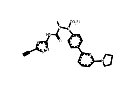 C#Cc1nnc(NC(=O)N(C)N(C(=O)OCC)c2ccc(-c3cccc(N4CCCC4)n3)cc2)s1